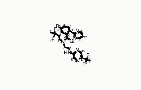 CC(F)(F)CCN(CCNc1cnc(C(F)(F)F)cn1)C(=O)c1cc(F)ccc1-c1ncccn1